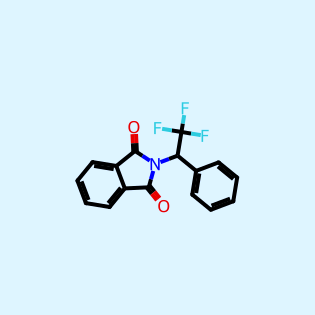 O=C1c2ccccc2C(=O)N1C(c1ccccc1)C(F)(F)F